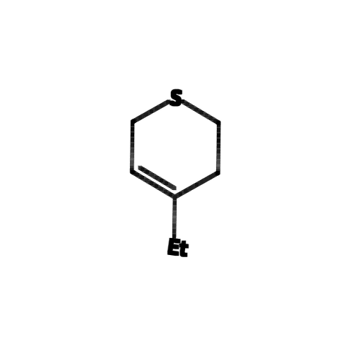 CCC1=CCSCC1